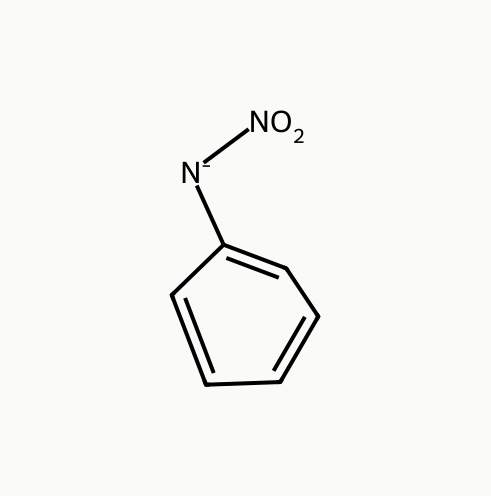 O=[N+]([O-])[N-]c1ccccc1